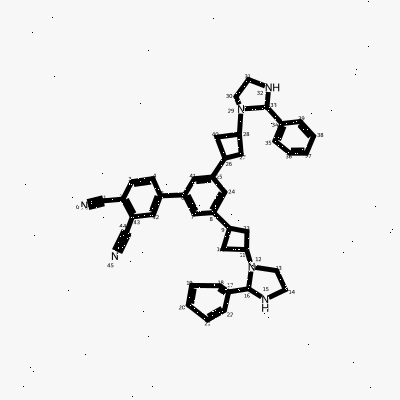 N#Cc1ccc(-c2cc(C3CC(N4CCNC4c4ccccc4)C3)cc(C3CC(N4CCNC4c4ccccc4)C3)c2)cc1C#N